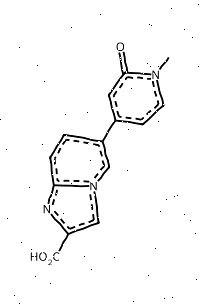 Cn1ccc(-c2ccc3nc(C(=O)O)cn3c2)cc1=O